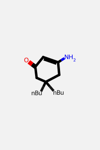 CCCCC1(CCCC)CC(=O)C=C(N)C1